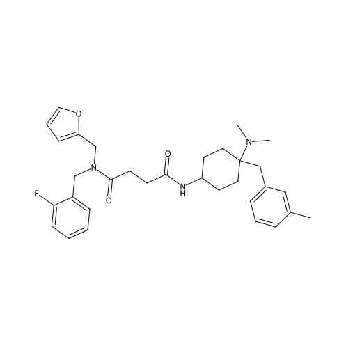 Cc1cccc(CC2(N(C)C)CCC(NC(=O)CCC(=O)N(Cc3ccco3)Cc3ccccc3F)CC2)c1